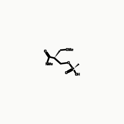 CNC(=O)[C@H](COC)CO[P@](C)(=O)O